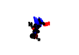 C=CC(=O)N1CCC(N2Cc3cnc(Nc4cnn(CCO)c4)nc3N(C)C2=O)C2CC21